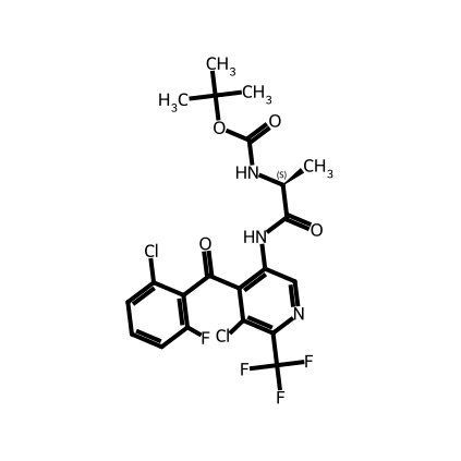 C[C@H](NC(=O)OC(C)(C)C)C(=O)Nc1cnc(C(F)(F)F)c(Cl)c1C(=O)c1c(F)cccc1Cl